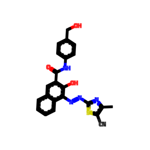 Cc1nc(/N=N/c2c(O)c(C(=O)Nc3ccc(CO)cc3)cc3ccccc23)sc1C#N